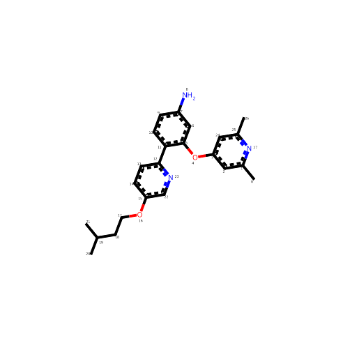 Cc1cc(Oc2cc(N)ccc2-c2ccc(OCCC(C)C)cn2)cc(C)n1